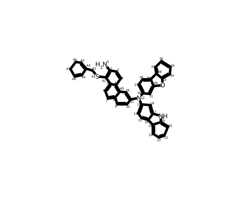 Nc1ccc2c(ccc3ccc(N(c4ccc5c(c4)[nH]c4ccccc45)c4ccc5c(c4)oc4ccccc45)cc32)c1SCC1=CCCC=C1